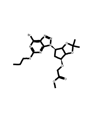 CCCSc1nc(Br)c2nnn([C@@H]3C[C@H](OCC(=O)OC)C4OC(C)(C)OC43)c2n1